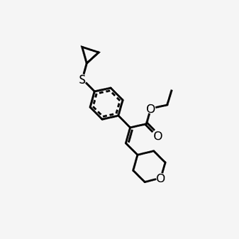 CCOC(=O)C(=CC1CCOCC1)c1ccc(SC2CC2)cc1